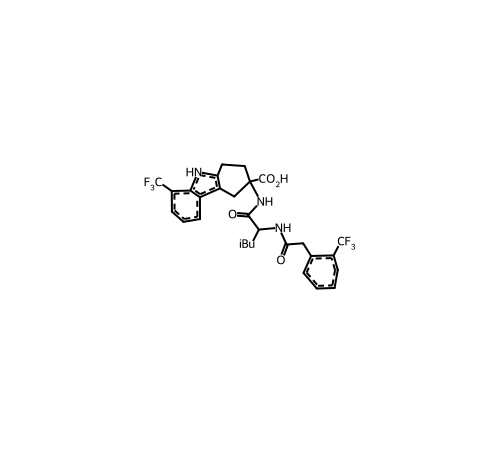 CCC(C)C(NC(=O)Cc1ccccc1C(F)(F)F)C(=O)NC1(C(=O)O)CCc2[nH]c3c(C(F)(F)F)cccc3c2C1